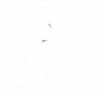 Cc1cc(Cl)cc(Nc2cc(N[C@@H]3CCCC[C@@H]3OC(N)=O)cnc2C#N)n1